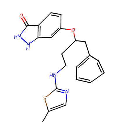 Cc1cnc(NCCC(Cc2ccccc2)Oc2ccc3c(=O)[nH][nH]c3c2)s1